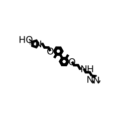 Cc1c(OCCCNCCc2cn(C)cn2)cccc1-c1cccc(OCCCN2CC[C@@H](O)C2)c1C